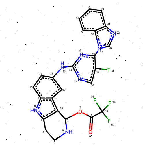 O=C(OC1NCCc2[nH]c3ccc(Nc4ncc(F)c(-n5cnc6ccccc65)n4)cc3c21)C(F)(F)F